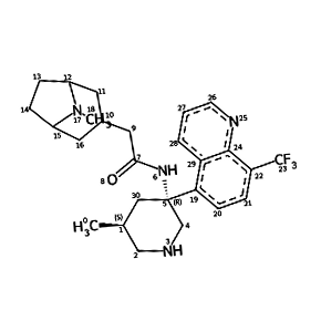 C[C@@H]1CNC[C@](NC(=O)CC2CC3CCC(C2)N3C)(c2ccc(C(F)(F)F)c3ncccc23)C1